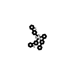 c1ccc(-c2ccc(-c3ccccc3-c3nc(-c4ccc5c(c4)sc4ccccc45)nc(-c4ccc5sc6ccccc6c5c4)n3)cc2)cc1